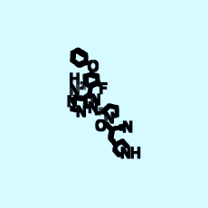 N#CC(=CC1CCNCC1)C(=O)N1CCC[C@@H]1Cn1nc(-c2ccc(Oc3ccccc3)cc2F)c2c(N)ncnc21